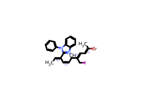 C=C(/C=C\C(=C/C)c1nc2ccccc2n1-c1ccccc1)/C(=C/C=C(\C)Br)CI